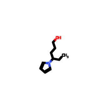 CCC(CCCO)n1cccc1